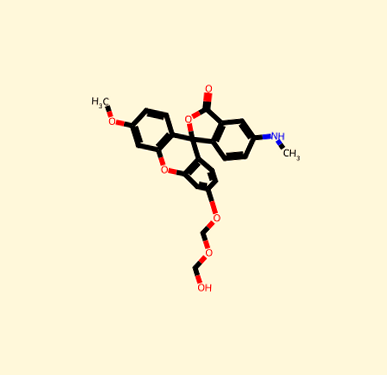 CNc1ccc2c(c1)C(=O)OC21c2ccc(OC)cc2Oc2cc(OCOCO)ccc21